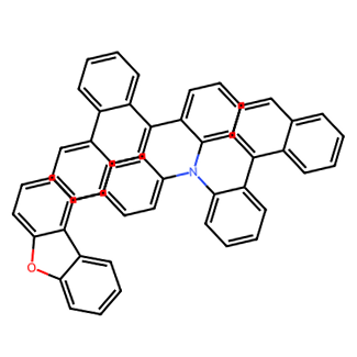 c1ccc(N(c2ccc(-c3cccc4oc5ccccc5c34)cc2)c2ccccc2-c2cc3ccccc3c3ccccc23)c(-c2cccc3ccccc23)c1